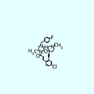 C[C@H]1CN(Cc2ccc(F)cc2)CCN1C(=O)/C=C/c1ccc(Cl)cc1C#CC1(O)CCN(C)CC1